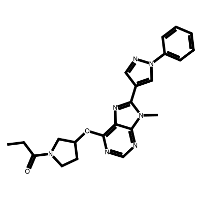 CCC(=O)N1CCC(Oc2ncnc3c2nc(-c2cnn(-c4ccccc4)c2)n3C)C1